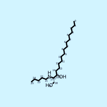 CCCCCCCCCCCCCCC[C@@H](O)[C@H](CO)NCCCCC